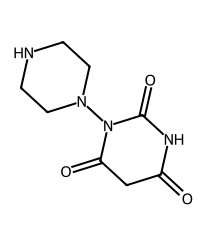 O=C1CC(=O)N(N2CCNCC2)C(=O)N1